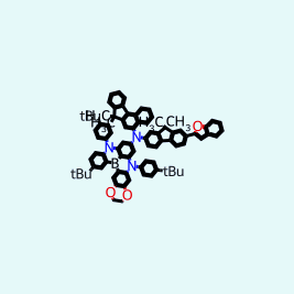 CC(C)(C)c1ccc(N2c3ccc(C(C)(C)C)cc3B3c4cc5c(cc4N(c4ccc(C(C)(C)C)cc4)c4cc(N(c6ccc7c(c6)C(C)(C)c6cc(-c8cc9ccccc9o8)ccc6-7)c6cc7c(c8ccccc68)-c6ccccc6C7(C)C)cc2c43)OCCO5)cc1